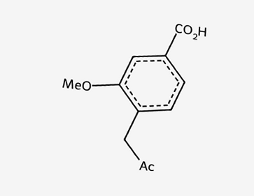 COc1cc(C(=O)O)ccc1CC(C)=O